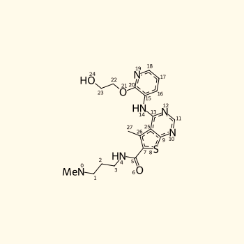 CNCCCNC(=O)c1sc2ncnc(Nc3cccnc3OCCO)c2c1C